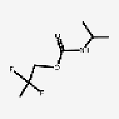 CC(C)NC(=O)OCC(C)(F)F